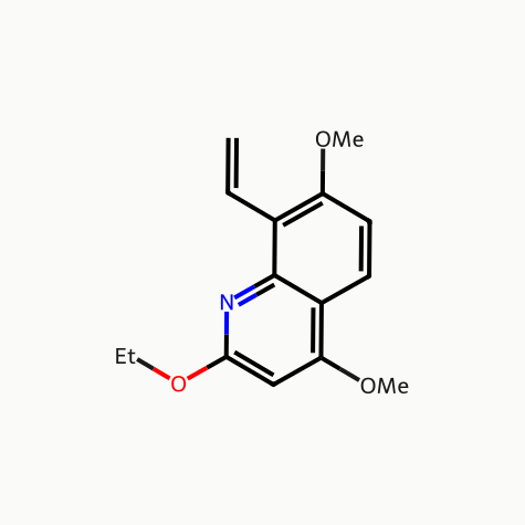 C=Cc1c(OC)ccc2c(OC)cc(OCC)nc12